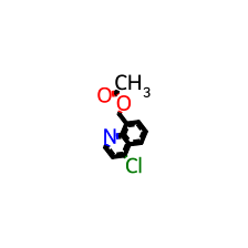 CC(=O)OCc1cccc2c(Cl)ccnc12